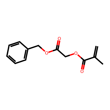 C=C(C)C(=O)OCC(=O)OCc1ccccc1